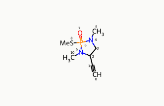 C#CC1CN(C)P(=O)(SC)N1C